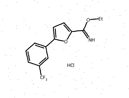 CCOC(=N)c1ccc(-c2cccc(C(F)(F)F)c2)o1.Cl